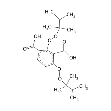 CC(C)C(C)(C)OOc1ccc(C(=O)O)c(OOC(C)(C)C(C)C)c1C(=O)O